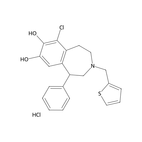 Cl.Oc1cc2c(c(Cl)c1O)CCN(Cc1cccs1)CC2c1ccccc1